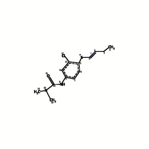 CC/C=C/Sc1ccc(NC(=O)N(C)C)cc1Cl